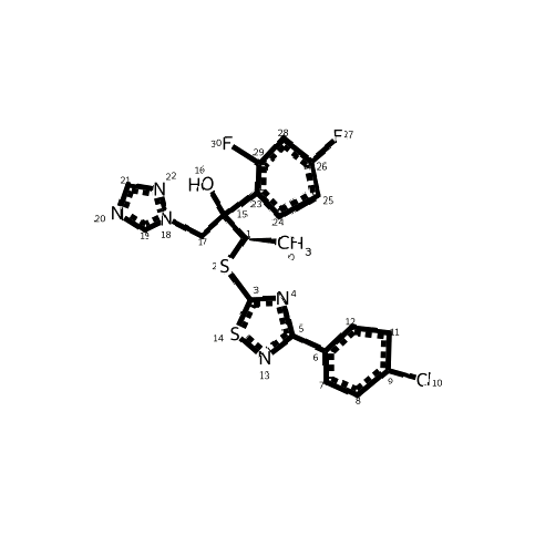 C[C@@H](Sc1nc(-c2ccc(Cl)cc2)ns1)C(O)(Cn1cncn1)c1ccc(F)cc1F